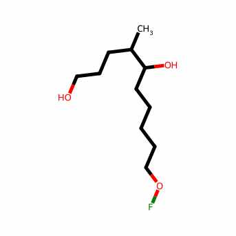 CC(CCCO)C(O)CCCCCOF